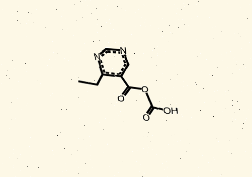 CCc1ncncc1C(=O)OC(=O)O